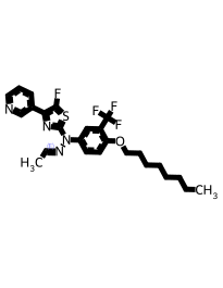 C/C=N/N(c1ccc(OCCCCCCCC)c(C(F)(F)F)c1)c1nc(-c2cccnc2)c(F)s1